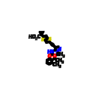 Cc1ccccc1C(C)OC(=O)Nc1c(C#Cc2cc3sc(C4(C(=O)O)CC4)cc3s2)cnn1C